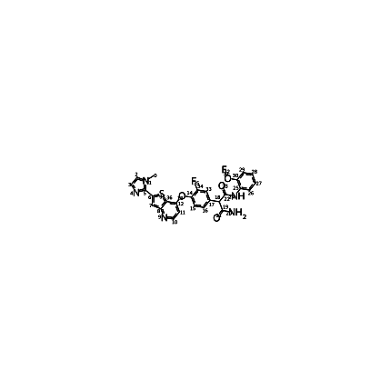 Cn1ccnc1-c1cc2nccc(Oc3ccc(C(C(N)=O)C(=O)Nc4ccccc4OF)cc3F)c2s1